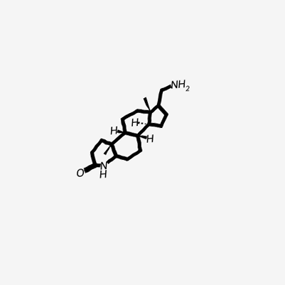 C[C@]12CCC(=O)NC1CC[C@@H]1[C@H]2CC[C@]2(C)C(CN)CC[C@@H]12